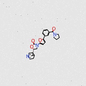 O=C(c1cccc(-c2ccc(N3C[C@@H](C4CN5CCC4CC5)OC3=O)o2)c1)N1CCCC1